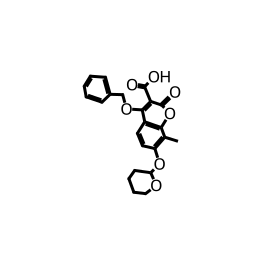 Cc1c(OC2CCCCO2)ccc2c(OCc3ccccc3)c(C(=O)O)c(=O)oc12